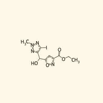 CCOC(=O)c1cc(C(O)c2nn(C)nc2I)on1